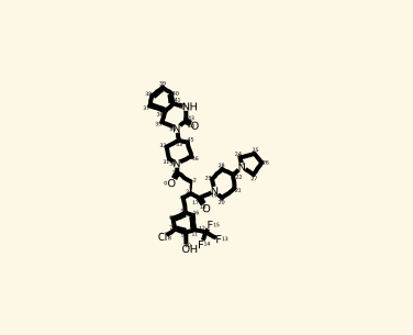 O=C(C[C@H](Cc1cc(Cl)c(O)c(C(F)(F)F)c1)C(=O)N1CCC(N2CCCC2)CC1)N1CCC(N2Cc3ccccc3NC2=O)CC1